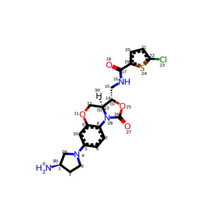 N[C@@H]1CCN(c2ccc3c(c2)OC[C@H]2[C@H](CNC(=O)c4ccc(Cl)s4)OC(=O)N32)C1